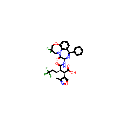 Cc1nocc1[C@H](C(=O)O)[C@@H](CCC(F)(F)F)C(=O)N[C@H]1N=C(c2ccccc2)c2cccc3c2N(CC(F)(F)CO3)C1=O